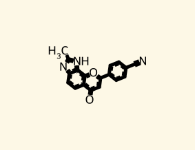 Cc1nc2ccc3c(=O)cc(-c4ccc(C#N)cc4)oc3c2[nH]1